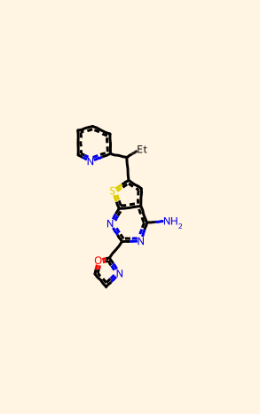 CCC(c1ccccn1)c1cc2c(N)nc(-c3ncco3)nc2s1